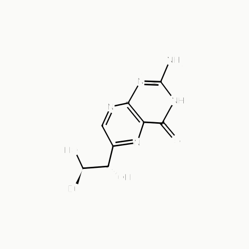 CC[C@@H](O)[C@@H](O)c1cnc2nc(N)[nH]c(=O)c2n1